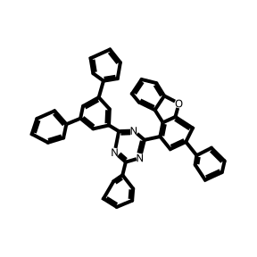 c1ccc(-c2cc(-c3ccccc3)cc(-c3nc(-c4ccccc4)nc(-c4cc(-c5ccccc5)cc5oc6ccccc6c45)n3)c2)cc1